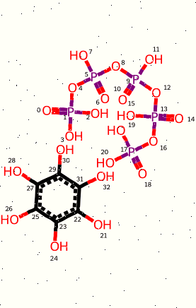 O=P(O)(O)OP(=O)(O)OP(=O)(O)OP(=O)(O)OP(=O)(O)O.Oc1c(O)c(O)c(O)c(O)c1O